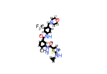 Cc1ccc(C(=O)Nc2ccc(CN3CCOCC3)c(C(F)(F)F)c2)cc1NC(=O)c1cnc(NC2CC2)s1